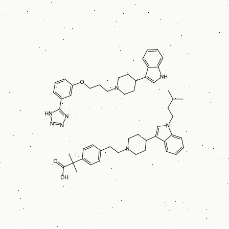 CC(C)CCn1cc(C2CCN(CCc3ccc(C(C)(C)C(=O)O)cc3)CC2)c2ccccc21.c1cc(OCCCN2CCC(c3c[nH]c4ccccc34)CC2)cc(-c2nnn[nH]2)c1